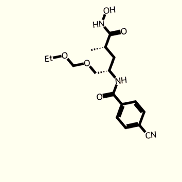 CCOCOC[C@H](C[C@H](C)C(=O)NO)NC(=O)c1ccc(C#N)cc1